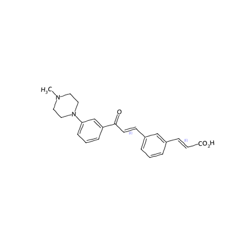 CN1CCN(c2cccc(C(=O)/C=C/c3cccc(/C=C/C(=O)O)c3)c2)CC1